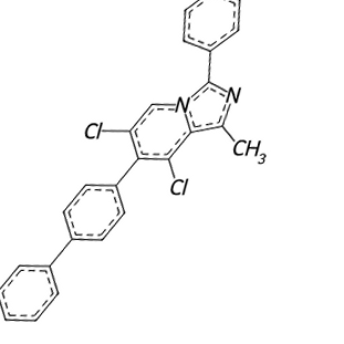 Cc1nc(-c2ccccc2)n2cc(Cl)c(-c3ccc(-c4ccccc4)cc3)c(Cl)c12